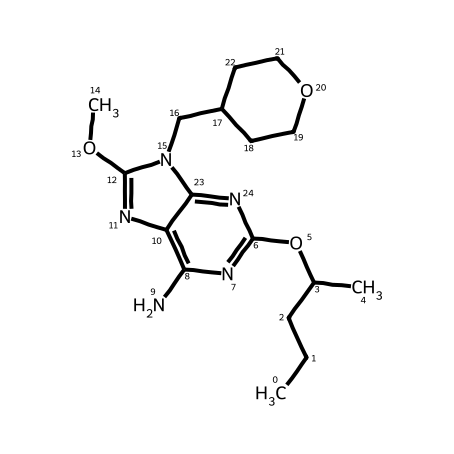 CCCC(C)Oc1nc(N)c2nc(OC)n(CC3CCOCC3)c2n1